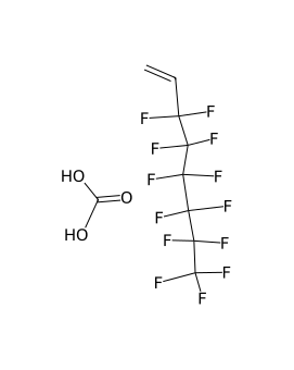 C=CC(F)(F)C(F)(F)C(F)(F)C(F)(F)C(F)(F)C(F)(F)F.O=C(O)O